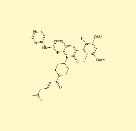 COc1cc(OC)c(F)c(-c2cc3cnc(Nc4ccncn4)nc3n(C3CCN(C(=O)/C=C/CN(C)C)CC3)c2=O)c1F